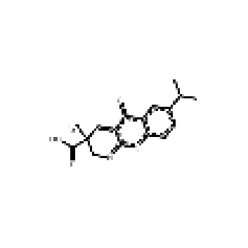 CC(C)c1ccc2oc3c(c(=O)c2c1)=CC(N)(C(=O)O)CN=3